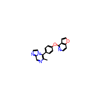 Cc1ncc2nccn2c1-c1ccc(Oc2nccc3occc23)cc1